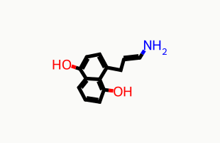 NC=CCc1ccc(O)c2cccc(O)c12